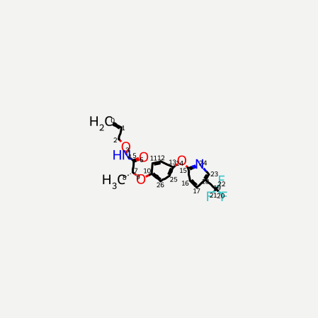 C=CCONC(=O)[C@@H](C)Oc1ccc(Oc2ccc(C(F)(F)F)cn2)cc1